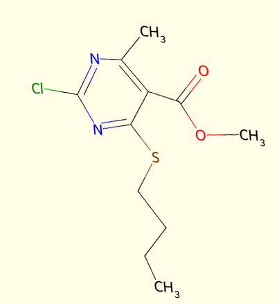 CCCCSc1nc(Cl)nc(C)c1C(=O)OC